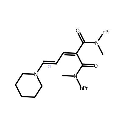 CCCN(C)C(=O)C(=C/C=C/N1CCCCC1)C(=O)N(C)CCC